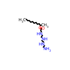 CCCCCCCCCCC(C)OC(=O)CCNCCNCCNCCN